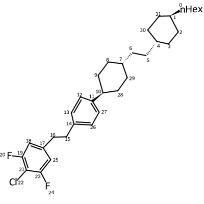 CCCCCC[C@H]1CC[C@H](CC[C@H]2CC[C@H](c3ccc(CCc4cc(F)c(Cl)c(F)c4)cc3)CC2)CC1